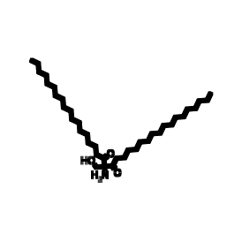 CCCCCCCCCCCCCCCCCC(=O)C(N)(CO)C(=O)CCCCCCCCCCCCCCCCC